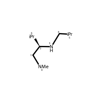 CNC[C@H](NCC(C)C)C(C)C